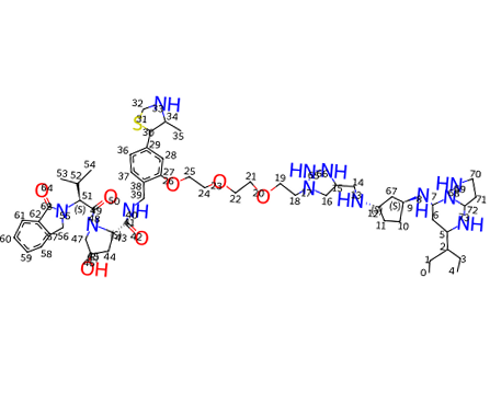 CCC(CC)C1CC(N[C@H]2CC[C@H](NCC3CN(CCOCCOCCOc4cc(C5SCNC5C)ccc4CNC(=O)[C@@H]4C[C@@H](O)CN4C(=O)[C@H](C(C)C)N4Cc5ccccc5C4=O)NN3)C2)N2NCCC2N1